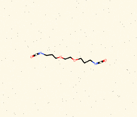 O=C=NCCCOCCOCCCN=C=O